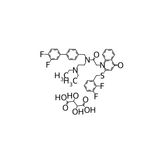 CCN(CC)CCN(Cc1ccc(-c2ccc(F)c(F)c2)cc1)C(=O)Cn1c(SCc2cccc(F)c2F)cc(=O)c2ccccc21.O=C(O)C(O)C(O)C(=O)O